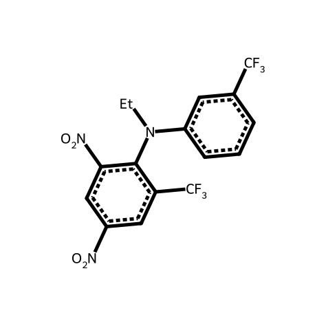 CCN(c1cccc(C(F)(F)F)c1)c1c([N+](=O)[O-])cc([N+](=O)[O-])cc1C(F)(F)F